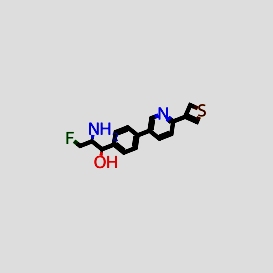 N[C@H](CF)[C@H](O)c1ccc(-c2ccc(C3=CSC3)nc2)cc1